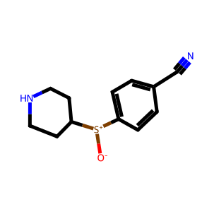 N#Cc1ccc([S+]([O-])C2CCNCC2)cc1